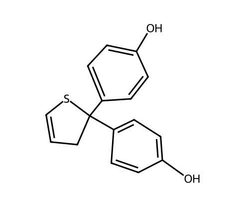 Oc1ccc(C2(c3ccc(O)cc3)CC=CS2)cc1